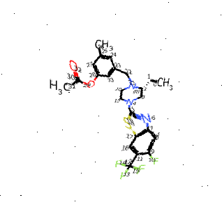 CC[C@@H]1CN(c2nc3cc(F)c(C(F)(F)F)cc3s2)CCN1Cc1cc(C)cc(OC(C)=O)c1